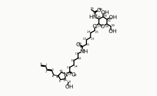 C=CC=CC[C@@H]1C[C@@H](CO)N(C(=O)CCCCCNC(=O)CCCCCOC2OC(CO)C(O)C(O)C2NC(C)=O)C1